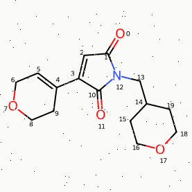 O=C1C=C(C2=CCOCC2)C(=O)N1CC1CCOCC1